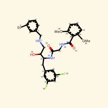 CCc1cccc(CNCC(O)C(Cc2cc(F)cc(F)c2)NC(=O)CNC(=O)c2c(OC)cccc2OC)c1